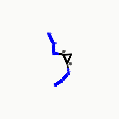 [N-]=[N+]=N[C@H]1C[C@@H]1N=[N+]=[N-]